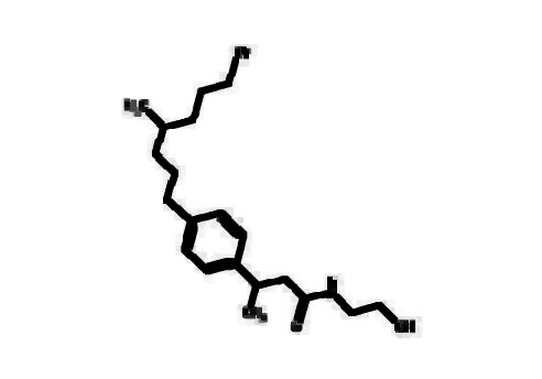 CC(C)CCCC(C)CCCc1ccc(C(C)CC(=O)NCCO)cc1